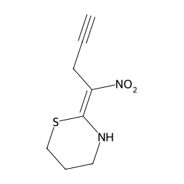 C#CCC(=C1NCCCS1)[N+](=O)[O-]